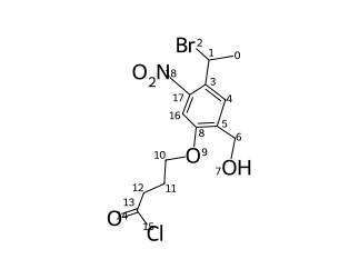 CC(Br)c1cc(CO)c(OCCCC(=O)Cl)cc1[N+](=O)[O-]